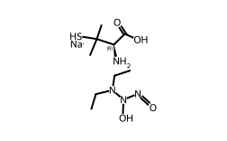 CC(C)(S)[C@H](N)C(=O)O.CCN(CC)N(O)N=O.[Na]